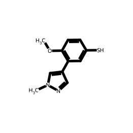 COc1ccc(S)cc1-c1cnn(C)c1